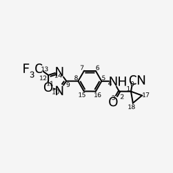 N#CC1(C(=O)Nc2ccc(-c3noc(C(F)(F)F)n3)cc2)CC1